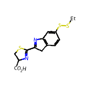 CCSSc1ccc2c(c1)N=C(C1=NC(C(=O)O)CS1)C2